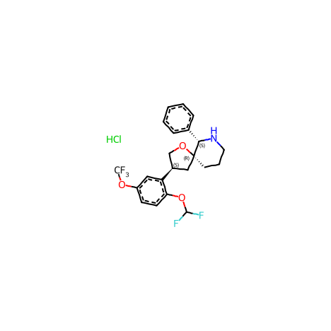 Cl.FC(F)Oc1ccc(OC(F)(F)F)cc1[C@H]1CO[C@]2(CCCN[C@H]2c2ccccc2)C1